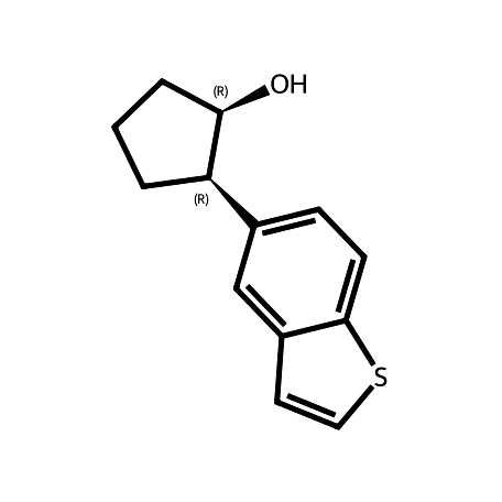 O[C@@H]1CCC[C@@H]1c1ccc2sccc2c1